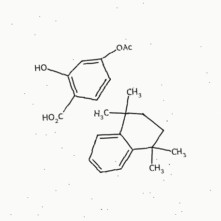 CC(=O)Oc1ccc(C(=O)O)c(O)c1.CC1(C)CCC(C)(C)c2ccccc21